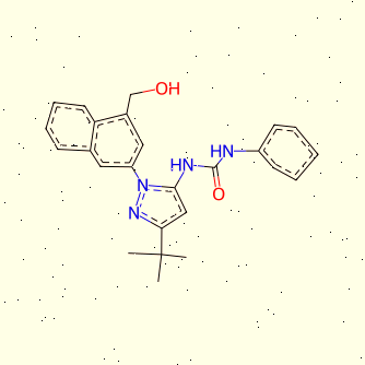 CC(C)(C)c1cc(NC(=O)Nc2ccccc2)n(-c2cc(CO)c3ccccc3c2)n1